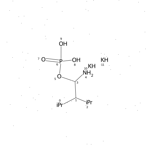 CC(C)C(C(C)C)C(N)OP(=O)(O)O.[KH].[KH]